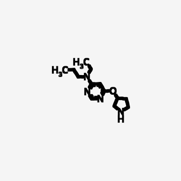 CCCN(CC)c1cc(OC2CCNC2)ncn1